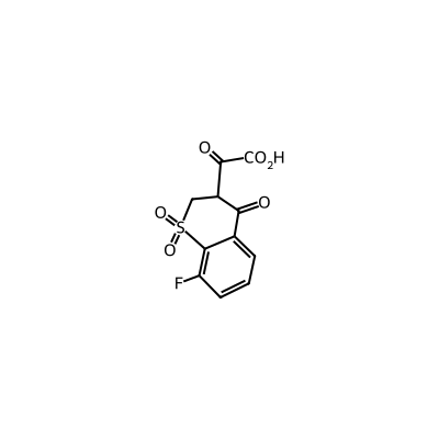 O=C(O)C(=O)C1CS(=O)(=O)c2c(F)cccc2C1=O